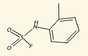 Cc1ccccc1NS(=O)(=O)F